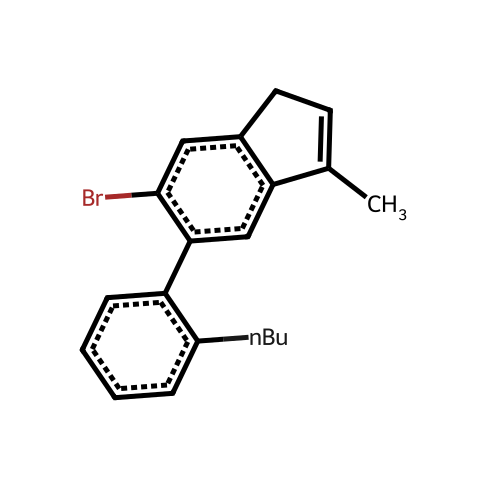 CCCCc1ccccc1-c1cc2c(cc1Br)CC=C2C